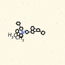 CC1(C)c2ccccc2-c2c(N(c3ccc(-c4ccccc4)cc3)c3ccc(-c4ccc5c6c(cccc46)-c4ccc(-c6ccccc6)cc4-5)cc3)cccc21